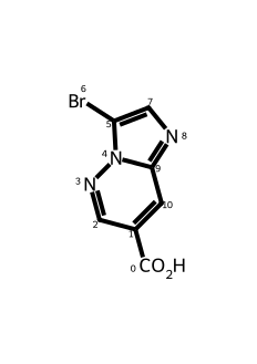 O=C(O)c1cnn2c(Br)cnc2c1